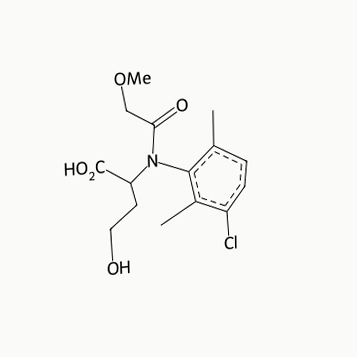 COCC(=O)N(c1c(C)ccc(Cl)c1C)C(CCO)C(=O)O